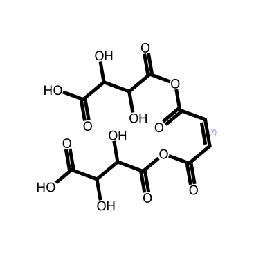 O=C(/C=C\C(=O)OC(=O)C(O)C(O)C(=O)O)OC(=O)C(O)C(O)C(=O)O